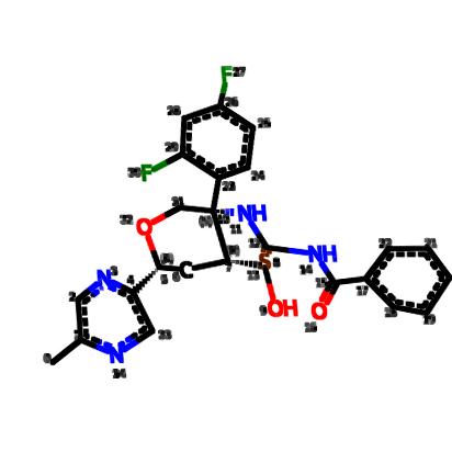 Cc1cnc([C@H]2C[C@@H](CO)[C@](NC(=S)NC(=O)c3ccccc3)(c3ccc(F)cc3F)CO2)cn1